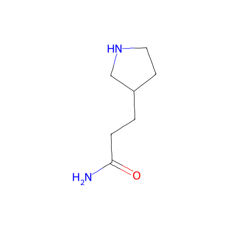 NC(=O)CCC1CCNC1